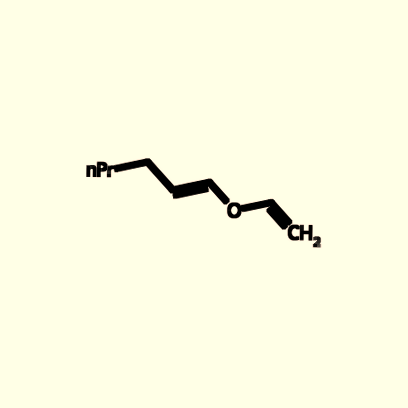 C=COC=CCCCC